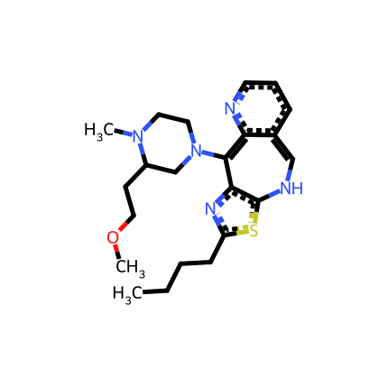 CCCCc1nc2c(s1)NC=c1cccnc1=C2N1CCN(C)C(CCOC)C1